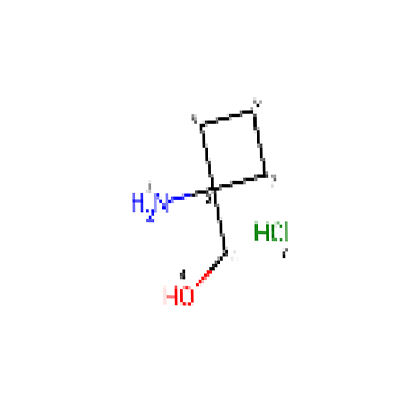 Cl.NC1(CO)CCC1